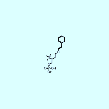 C[N+](C)(C)C(CCOC=Cc1ccccc1)COP(=O)(O)O